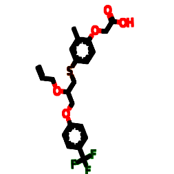 C=CCOC(COc1ccc(C(F)(F)F)cc1)CSc1ccc(OCC(=O)O)c(C)c1